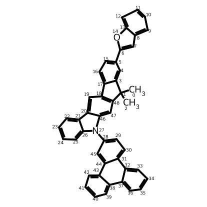 CC1(C)c2cc(-c3cc4ccccc4o3)ccc2-c2cc3c4ccccc4n(-c4ccc5c6ccccc6c6ccccc6c5c4)c3cc21